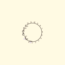 C1=C\CCCCCCCCCCCSSOO/C=C/1